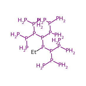 CCP(P(P(P)P)P(P)P)P(P(P)P(P)P)P(P(P)P)P(P)P